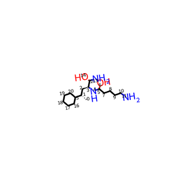 C[C@@H](C[C@H](NC(O)CCCCN)C(N)O)C1CCCCC1